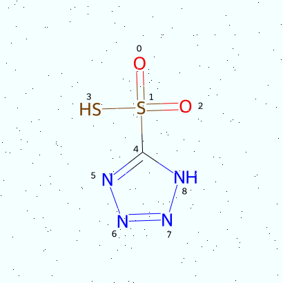 O=S(=O)(S)c1nnn[nH]1